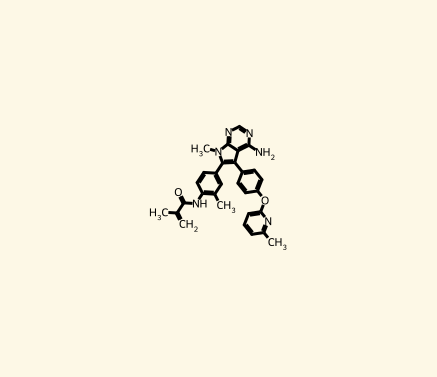 C=C(C)C(=O)Nc1ccc(-c2c(-c3ccc(Oc4cccc(C)n4)cc3)c3c(N)ncnc3n2C)cc1C